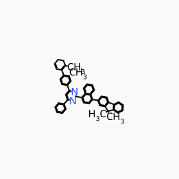 CC1=C(c2ccc(-c3cc(-c4ccccc4)nc(-c4ccc(-c5ccc6c(c5)C(C)(C)c5ccccc5-6)c5ccccc45)n3)cc2C)C=CCC1